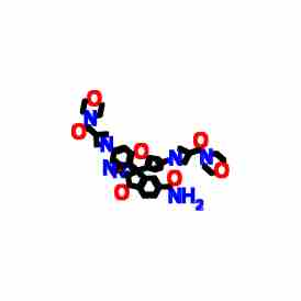 [N-]=[N+]=C1C(=O)c2ccc(C(N)=O)cc2C12c1ccc(N3CC(C(=O)N4CCOCC4)C3)cc1Oc1cc(N3CC(C(=O)N4CCOCC4)C3)ccc12